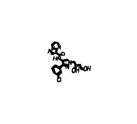 O=C(Nc1cn(CC(O)CCO)nc1-c1cccc(Cl)c1)c1cnn2cccnc12